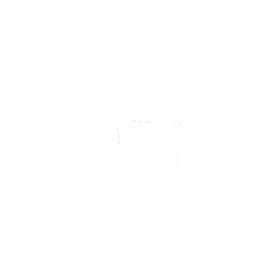 CC1CC=CCC/C=C/CCCC1=O